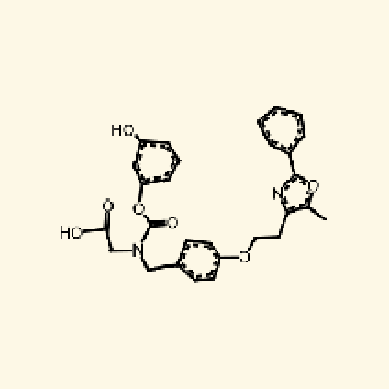 Cc1oc(-c2ccccc2)nc1CCOc1ccc(CN(CC(=O)O)C(=O)Oc2cccc(O)c2)cc1